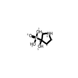 O=P(O)(O)C1(O)CCNC1